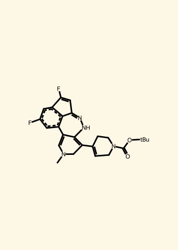 CN1C=C2C(=C(C3=CCN(C(=O)OC(C)(C)C)CC3)C1)NN=C1C=C(F)c3cc(F)cc2c31